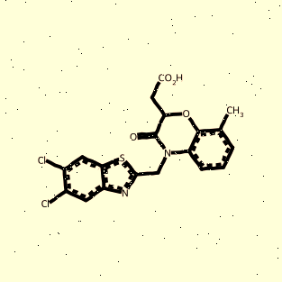 Cc1cccc2c1OC(CC(=O)O)C(=O)N2Cc1nc2cc(Cl)c(Cl)cc2s1